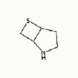 C1CC2SCC2N1